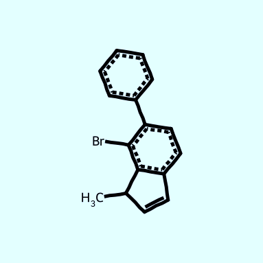 CC1C=Cc2ccc(-c3ccccc3)c(Br)c21